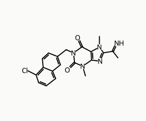 CC(=N)c1nc2c(c(=O)n(Cc3ccc4c(Cl)cccc4c3)c(=O)n2C)n1C